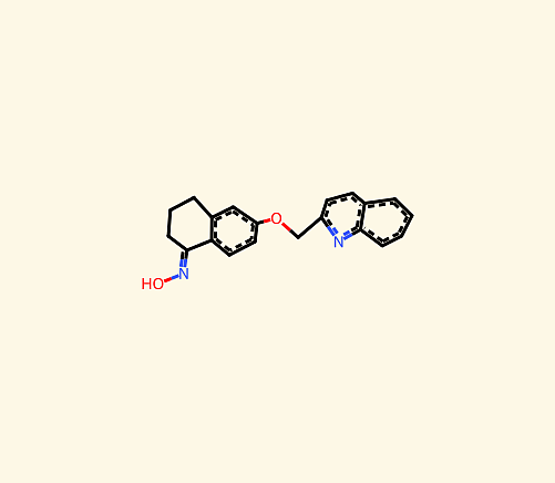 ON=C1CCCc2cc(OCc3ccc4ccccc4n3)ccc21